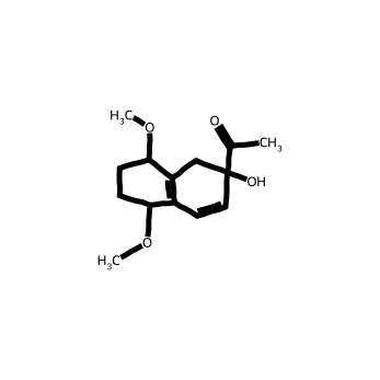 COC1CCC(OC)C2=C1C=CC(O)(C(C)=O)C2